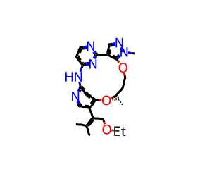 CCOCC(=C(C)C)c1cnc2cc1O[C@@H](C)CCOc1c(cnn1C)-c1nccc(n1)N2